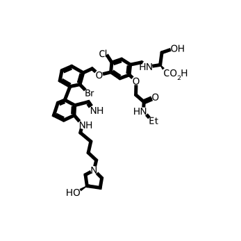 CCNC(=O)COc1cc(OCc2cccc(-c3cccc(NCCCCN4CC[C@@H](O)C4)c3C=N)c2Br)c(Cl)cc1CN[C@@H](CO)C(=O)O